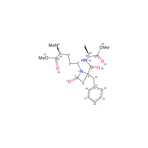 CN[C@@H](CCCN1C(=O)CC1(Cc1ccccc1)C(=O)N[C@@H](C)C(=O)OC)C(=O)OC